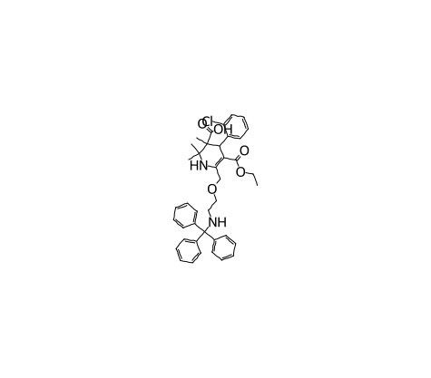 CCOC(=O)C1=C(COCCNC(c2ccccc2)(c2ccccc2)c2ccccc2)NC(C)(C)C(C)(C(=O)O)C1c1ccccc1Cl